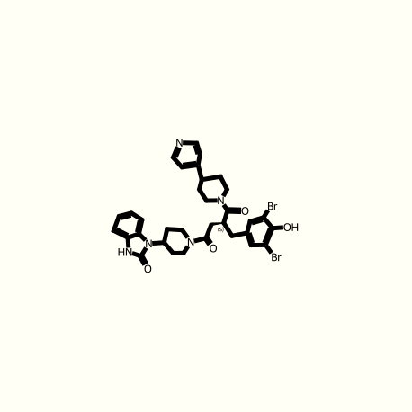 O=C(C[C@H](Cc1cc(Br)c(O)c(Br)c1)C(=O)N1CCC(c2ccncc2)CC1)N1CCC(n2c(=O)[nH]c3ccccc32)CC1